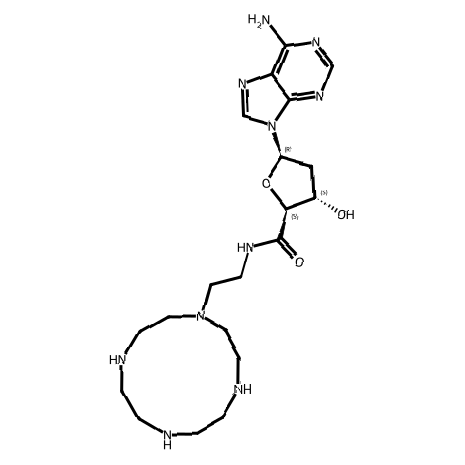 Nc1ncnc2c1ncn2[C@H]1C[C@H](O)[C@@H](C(=O)NCCN2CCNCCNCCNCC2)O1